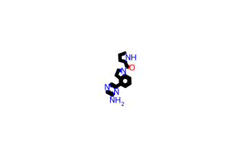 Nc1cncc(-c2cccc3c2CCN3C(=O)C2CCCN2)n1